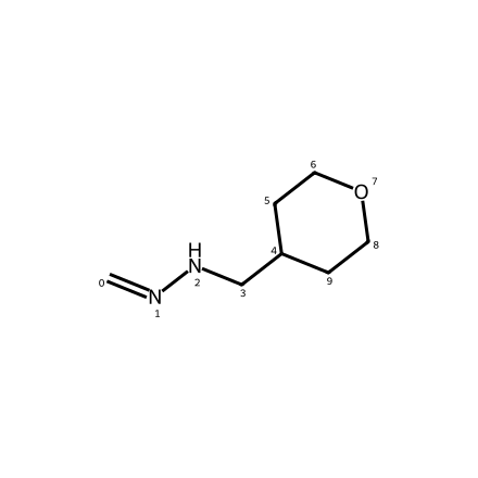 C=NNCC1CCOCC1